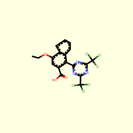 CCOc1cc(C(=O)O)c(-c2nc(C(Cl)(Cl)Cl)nc(C(Cl)(Cl)Cl)n2)c2ccccc12